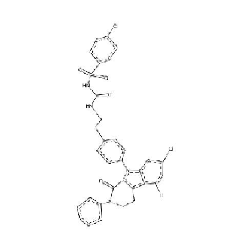 O=C(NCCc1ccc(-n2c3c(c4c(Cl)cc(Cl)cc42)CCN(c2ccccc2)C3=O)cc1)NS(=O)(=O)c1ccc(Cl)cc1